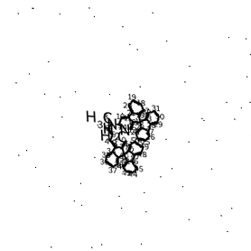 C\C=C1/C(=C\C=C\N(C)C/C=C2\C(=C/N)C3(c4ccccc42)c2ccccc2-c2ccccc23)c2ccccc2C12c1ccccc1-c1ccccc12